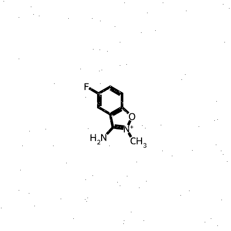 C[n+]1oc2ccc(F)cc2c1N